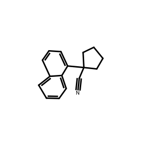 N#CC1(c2cccc3ccccc23)CCCC1